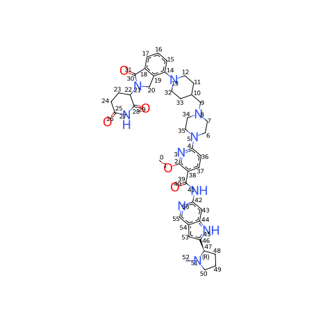 COc1nc(N2CCN(CC3CCN(c4cccc5c4CN(C4CCC(=O)NC4=O)C5=O)CC3)CC2)ccc1C(=O)Nc1cc2[nH]c([C@H]3CCCN3C)cc2cn1